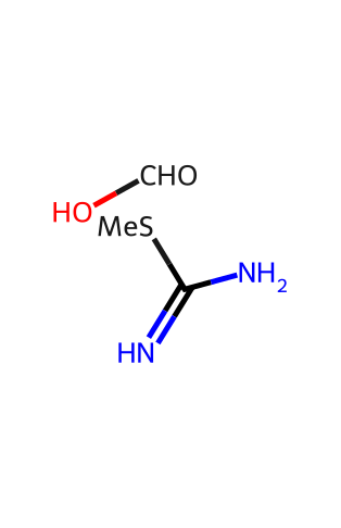 CSC(=N)N.O=CO